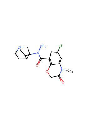 CN1C(=O)COc2c(C(=O)N(N)C3CN4CCC3CC4)cc(Cl)cc21